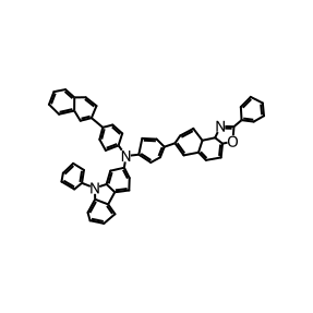 C1=CC2C(=CC=C3OC(c4ccccc4)=NC32)C=C1c1ccc(N(c2ccc(-c3ccc4ccccc4c3)cc2)c2ccc3c4ccccc4n(-c4ccccc4)c3c2)cc1